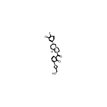 O=C(c1cccc(N2CC(CO)C2)c1Cl)N1CCN2C[C@@H](c3ccc(F)c(Cl)c3)CC[C@@H]2C1